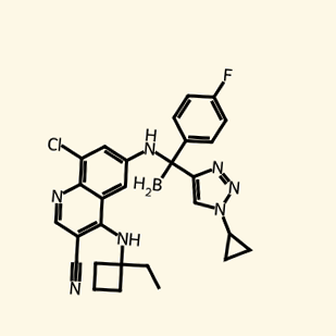 BC(Nc1cc(Cl)c2ncc(C#N)c(NC3(CC)CCC3)c2c1)(c1ccc(F)cc1)c1cn(C2CC2)nn1